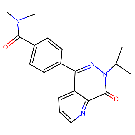 CC(C)n1nc(-c2ccc(C(=O)N(C)C)cc2)c2cccnc2c1=O